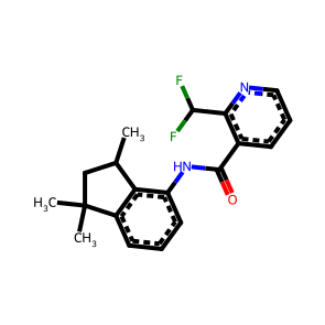 CC1CC(C)(C)c2cccc(NC(=O)c3cccnc3C(F)F)c21